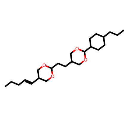 CCCC=CC1COC(CCC2COC(C3CCC(CCC)CC3)OC2)OC1